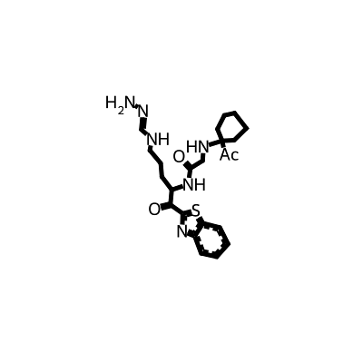 CC(=O)C1(NCC(=O)NC(CCCNC=NN)C(=O)c2nc3ccccc3s2)CCCCC1